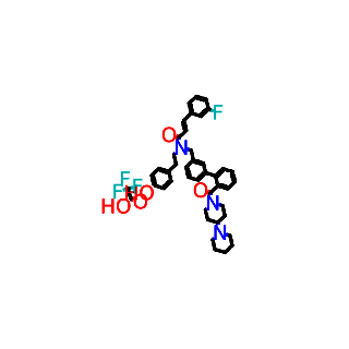 O=C(C=Cc1cccc(F)c1)N(CCc1ccc(O)cc1)Cc1cccc(-c2ccccc2C(=O)N2CCC(N3CCCCC3)CC2)c1.O=C(O)C(F)(F)F